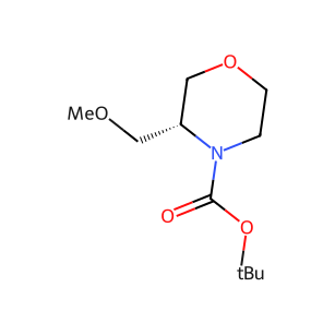 COC[C@@H]1COCCN1C(=O)OC(C)(C)C